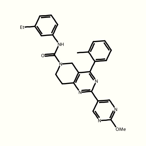 CCc1cccc(NC(=O)N2CCc3nc(-c4cnc(OC)nc4)nc(-c4ccccc4C)c3C2)c1